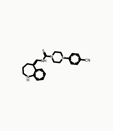 N#Cc1ccc(N2CCN(C(=S)N/C=C3/CCCNc4ccccc43)CC2)cc1